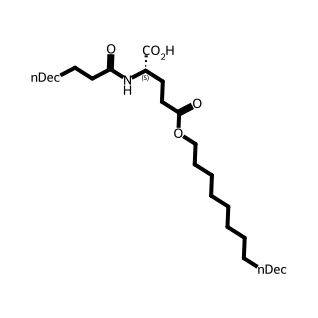 CCCCCCCCCCCCCCCCCCOC(=O)CC[C@H](NC(=O)CCCCCCCCCCCC)C(=O)O